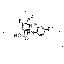 CCc1nc(Nc2ccc(F)cc2F)c(C(=O)O)cc1F